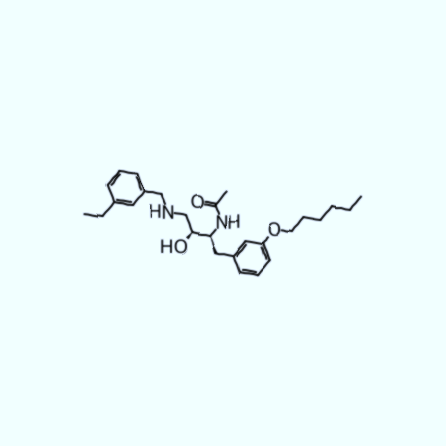 CCCCCCOc1cccc(C[C@H](NC(C)=O)[C@@H](O)CNCc2cccc(CC)c2)c1